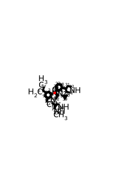 C=Nc1cc(C(=C)CC)cc(CC)c1N(C/C(C=N)=C/NC)Cc1cc2cccc(C3CCNCC3)c2n1C1CC1